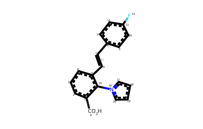 O=C(O)c1cccc(/C=C/c2ccc(F)cc2)c1-n1cccc1